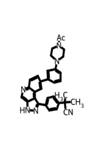 CC(=O)N1CCN(c2cccc(-c3ccc4ncc5[nH]nc(-c6ccc(C(C)(C)C#N)cc6)c5c4c3)c2)CC1